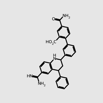 N=C(N)c1ccc2c(c1)C(c1ccccc1)CC(c1cccc(-c3ccc(C(N)=O)cc3C(=O)O)c1)N2